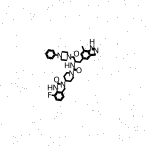 Cc1cc(CC(NC(=O)N2CCC(N3Cc4cccc(F)c4NC3=O)CC2)C(=O)N2CCN(c3ccccc3)CC2)cc2cn[nH]c12